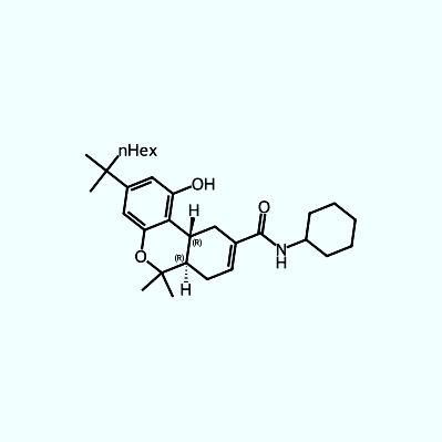 CCCCCCC(C)(C)c1cc(O)c2c(c1)OC(C)(C)[C@@H]1CC=C(C(=O)NC3CCCCC3)C[C@@H]21